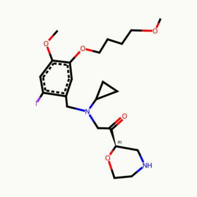 COCCCCOc1cc(CN(CC(=O)[C@H]2CNCCO2)C2CC2)c(I)cc1OC